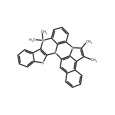 Cc1c(C)n2c3c(cc4ccccc4c13)B1c3sc4ccccc4c3[Si](C)(C)c3cccc-2c31